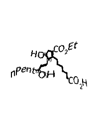 CCCCC[C@H](O)C=C[C@@H]1C(CCCCCCC(=O)O)=C(C(=O)OCC)C[C@H]1O